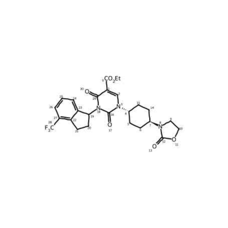 CCOC(=O)c1cn([C@H]2CC[C@H](N3CCOC3=O)CC2)c(=O)n(C2CCc3c2cccc3C(F)(F)F)c1=O